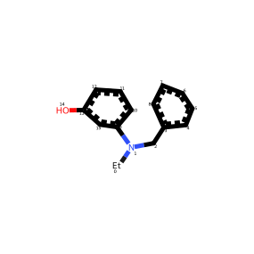 CCN(Cc1ccccc1)c1cccc(O)c1